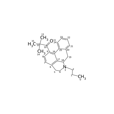 CCCN1CCc2ccc(C(=O)C(C)(C)C)c3c2C1Cc1ccccc1-3